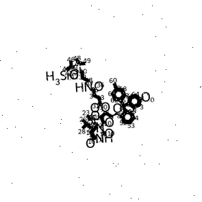 COc1ccc(C(OC[C@H]2O[C@@H](n3ccc(=O)[nH]c3=O)C(O[Si](C)(C)C(C)(C)C)[C@H]2OC(=O)CCC(=O)NCCC[Si](O[SiH3])(C(C)C)C(C)C)(c2ccccc2)c2ccc(C)cc2)cc1